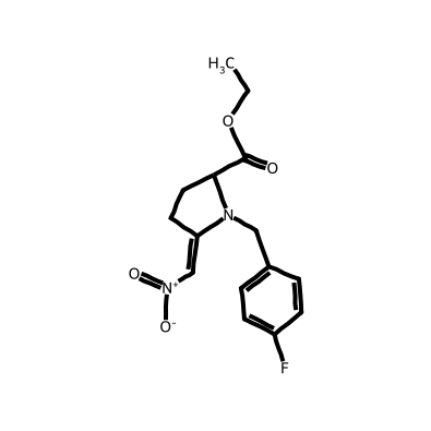 CCOC(=O)C1CC/C(=C\[N+](=O)[O-])N1Cc1ccc(F)cc1